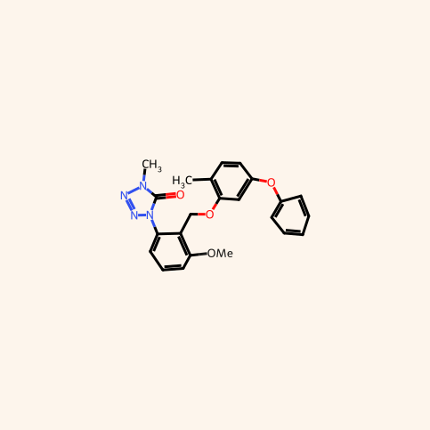 COc1cccc(-n2nnn(C)c2=O)c1COc1cc(Oc2ccccc2)ccc1C